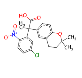 CC1(C)CCc2cc(C(C)(C(=O)O)c3cc(Cl)ccc3[N+](=O)[O-])ccc2O1